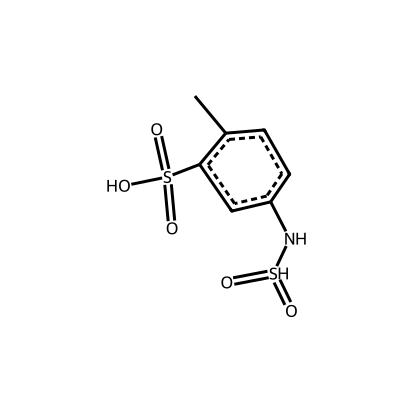 Cc1ccc(N[SH](=O)=O)cc1S(=O)(=O)O